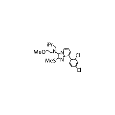 COCCN(CC(C)C)c1c(SC)nc2c(-c3ccc(Cl)cc3Cl)cccn12